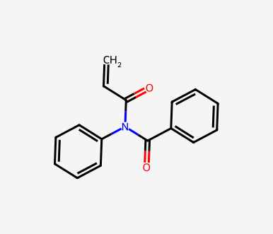 C=CC(=O)N(C(=O)c1ccccc1)c1ccccc1